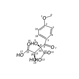 COc1ccc(C(=O)[C@](O)(C(=O)O)[C@@H](O)C(=O)O)cc1